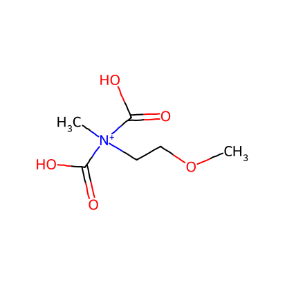 COCC[N+](C)(C(=O)O)C(=O)O